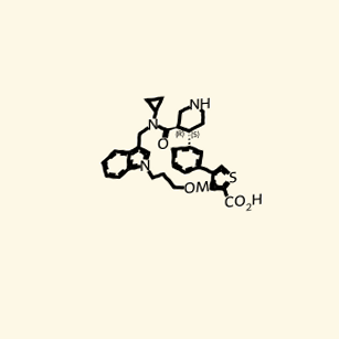 COCCCn1cc(CN(C(=O)[C@H]2CNCC[C@@H]2c2cccc(-c3csc(C(=O)O)c3)c2)C2CC2)c2ccccc21